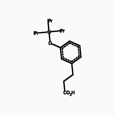 CC(C)[Si](Oc1cccc(CCC(=O)O)c1)(C(C)C)C(C)C